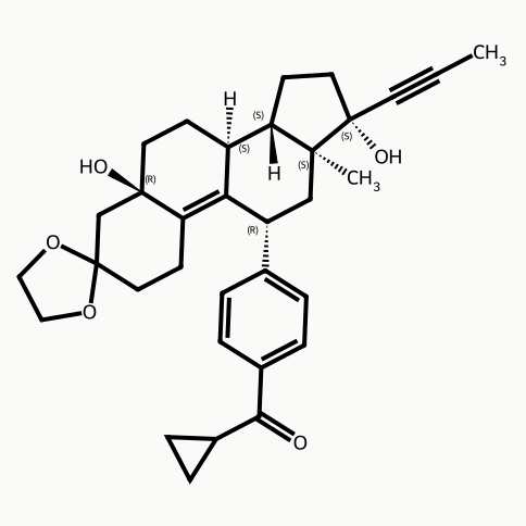 CC#C[C@]1(O)CC[C@H]2[C@@H]3CC[C@@]4(O)CC5(CCC4=C3[C@@H](c3ccc(C(=O)C4CC4)cc3)C[C@@]21C)OCCO5